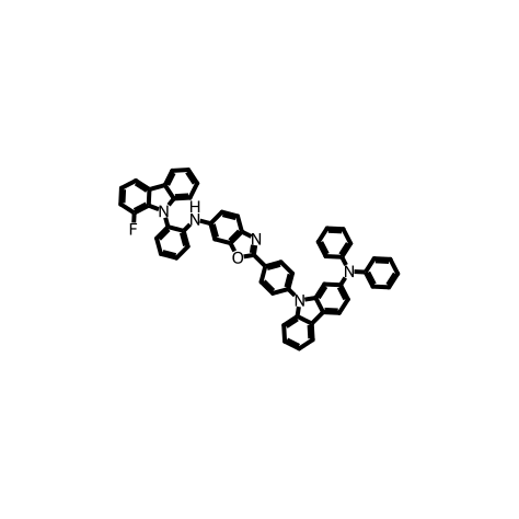 Fc1cccc2c3ccccc3n(-c3ccccc3Nc3ccc4nc(-c5ccc(-n6c7ccccc7c7ccc(N(c8ccccc8)c8ccccc8)cc76)cc5)oc4c3)c12